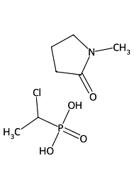 CC(Cl)P(=O)(O)O.CN1CCCC1=O